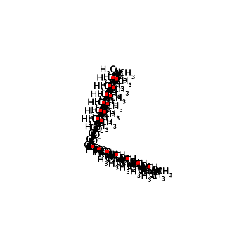 CC[N+](CC)(CC)CC.CC[N+](CC)(CC)CC.CC[N+](CC)(CC)CC.CC[N+](CC)(CC)CC.CC[N+](CC)(CC)CC.CC[N+](CC)(CC)CC.CC[N+](CC)(CC)CC.CC[N+](CC)(CC)CC.CC[N+](CC)(CC)CC.CC[N+](CC)(CC)CC.CC[N+](CC)(CC)CC.CC[N+](CC)(CC)CC.[O-]B([O-])F.[O-]B([O-])F.[O-]B([O-])F.[O-]B([O-])F.[O-]B([O-])F.[O-]B([O-])F